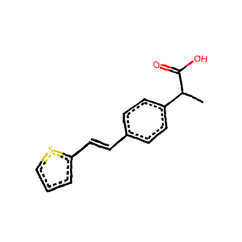 CC(C(=O)O)c1ccc(C=Cc2cccs2)cc1